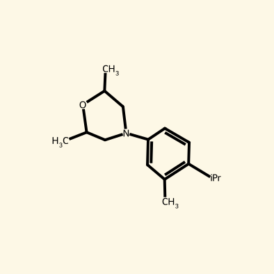 Cc1cc(N2CC(C)OC(C)C2)ccc1C(C)C